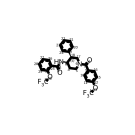 O=C(N[C@@H]1CCN(C(=O)c2ccc(OC(F)(F)F)cc2)C[C@@H]1c1ccccc1)c1ccccc1OC(F)(F)F